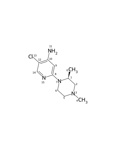 C[C@H]1CN(C)CCN1c1cc(N)c(Cl)cn1